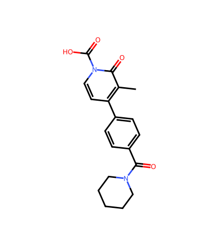 Cc1c(-c2ccc(C(=O)N3CCCCC3)cc2)ccn(C(=O)O)c1=O